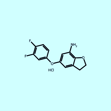 Cl.Nc1cc(Oc2ccc(F)c(F)c2)cc2c1OCC2